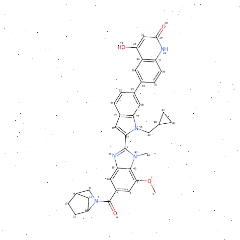 COc1cc(C(=O)N2CC3CCC2C3)cc2nc(-c3cc4ccc(-c5ccc6[nH]c(=O)cc(O)c6c5)cc4n3CC3CC3)n(C)c12